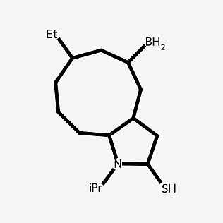 BC1CC(CC)CCCC2C(C1)CC(S)N2C(C)C